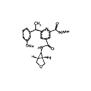 CNC(=O)c1cc(C(=O)N[C@H]2[C@@H]3COC[C@@H]32)cc(C(C)c2cccc(OC)c2)n1